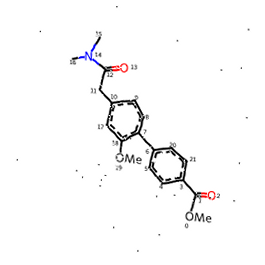 COC(=O)c1ccc(-c2ccc(CC(=O)N(C)C)cc2OC)cc1